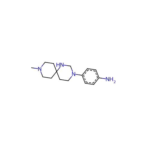 CN1CCC2(CC1)CCN(c1ccc(N)cc1)CN2